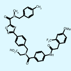 COc1ccc(CC(=O)Nc2ccc(C(=O)N(CC(=O)O)Cc3ccc(-c4noc(C(=O)N(C)Cc5ccc(C)cc5)n4)cc3)cc2)c(C(F)(F)F)c1